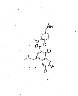 CNCc1ccc(OC(=O)c2cn(CC(C)C)c3cc(Cl)c(F)cc3c2=O)c(OC)c1